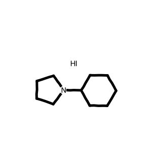 C1CCC(N2CCCC2)CC1.I